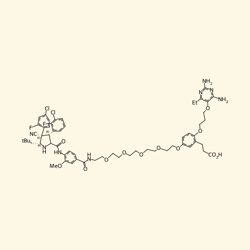 CCc1nc(N)nc(N)c1OCCCOc1ccc(OCCOCCOCCOCCOCCNC(=O)c2ccc(NC(=O)C3N[C@H](CC(C)(C)C)[C@@](C#N)(c4ccc(Cl)cc4F)[C@@H]3c3cccc(Cl)c3F)c(OC)c2)cc1CCC(=O)O